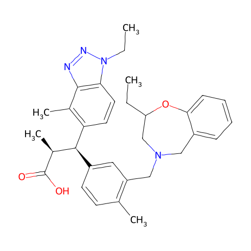 CCC1CN(Cc2cc([C@H](c3ccc4c(nnn4CC)c3C)[C@H](C)C(=O)O)ccc2C)Cc2ccccc2O1